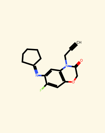 C#CCN1C(=O)COc2cc(F)c(N=C3CCCCC3)cc21